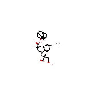 CCC(C)(CC(CC1(C)CC(=O)OC1=O)c1ccc(OC)cc1)C(=O)OC12CC3CC(CC(C3)C1)C2